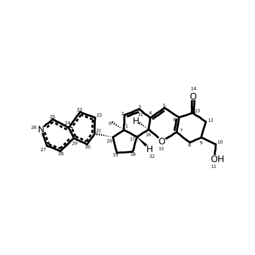 C[C@]12C=CC3=CC4=C(CC(CO)CC4=O)O[C@H]3[C@@H]1CC[C@@H]2c1ccc2cnccc2c1